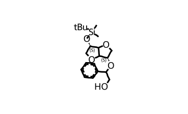 CC(C)(C)[Si](C)(C)O[C@H]1COC2C1OC[C@@H]2OC(CO)c1ccccc1